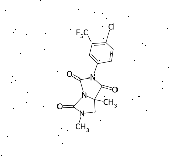 CN1CC2(C)C(=O)N(c3ccc(Cl)c(C(F)(F)F)c3)C(=O)N2C1=O